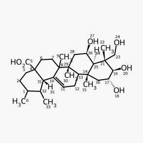 CC1CCC2(C(=O)O)CCC3(C)C(=CCC4[C@@]5(C)C[C@@H](O)[C@H](O)[C@@](C)(CO)[C@@H]5[C@H](O)C[C@]43C)[C@@H]2C1C